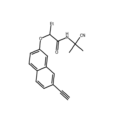 C#Cc1ccc2ccc(OC(CC)C(=O)NC(C)(C)C#N)cc2c1